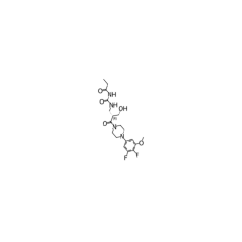 CCC(=O)NC(=O)NC[C@H](CO)C(=O)N1CCN(c2cc(F)c(F)c(OC)c2)CC1